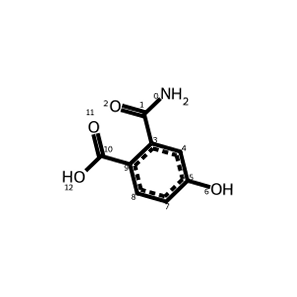 NC(=O)c1cc(O)ccc1C(=O)O